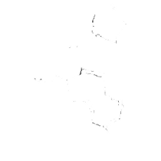 COc1cc2c(Cl)ncnc2cc1C(=O)N1CC=CC1